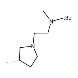 C[C@H]1CCN(CCN(C)C(C)(C)C)C1